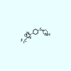 FC(F)(F)c1nc(-c2ccc(S[C@@H]3CCNC3)cc2)no1